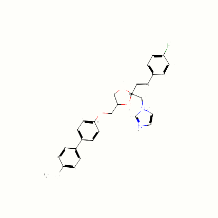 COc1ccc(-c2ccc(OCC3COC(CCc4ccc(F)cc4)(Cn4ccnc4)O3)cc2)cc1